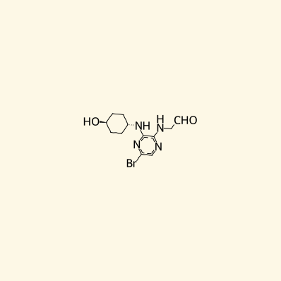 O=CCNc1ncc(Br)nc1N[C@H]1CC[C@H](O)CC1